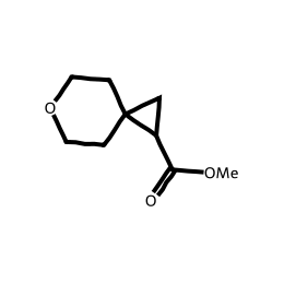 COC(=O)C1CC12CCOCC2